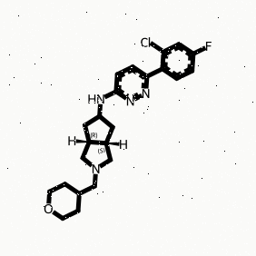 Fc1ccc(-c2ccc(NC3C[C@@H]4CN(CC5CCOCC5)C[C@@H]4C3)nn2)c(Cl)c1